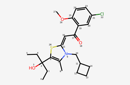 CCC(O)(CC)C1=C(C)N(CC2CCC2)C(=CC(=O)c2cc(Cl)ccc2OC)S1